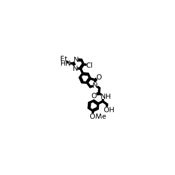 CCNc1ncc(Cl)c(-c2ccc3c(c2)C(=O)N(CC(=O)NC(CO)c2cccc(OC)c2)C3)n1